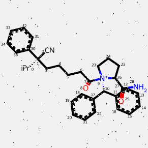 CC(C)[C@](C#N)(CCCCC(=O)[N@@+]1(C(c2ccccc2)c2ccccc2)CCCC1C(N)=O)c1ccccc1